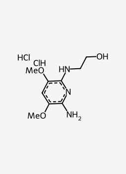 COc1cc(OC)c(NCCO)nc1N.Cl.Cl